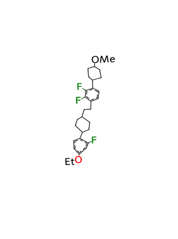 CCOc1ccc(C2CCC(CCc3ccc(C4CCC(OC)CC4)c(F)c3F)CC2)c(F)c1